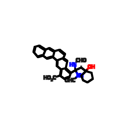 O=CNC([CH]C1(O)CCCCC1)(NC=O)c1ccc(C(=O)O)c2cc3c(ccc4cc5ccccc5cc43)cc12